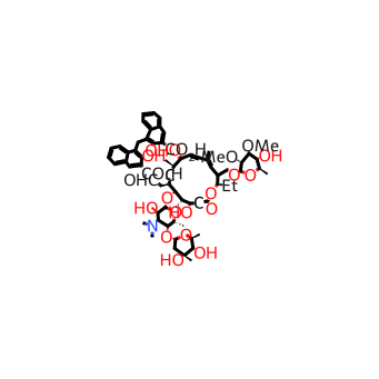 CC[C@H]1OC(=O)C[C@@H](O)[C@H](C)[C@@H](O[C@@H]2O[C@H](C)[C@@H](O[C@H]3C[C@@](C)(O)[C@@H](O)[C@H](C)O3)[C@H](N(C)C)[C@H]2O)[C@@H](CC=O)C[C@@H](C)C(=O)/C=C/C(C)=C/C1CO[C@@H]1O[C@H](C)[C@@H](O)[C@@H](OC)[C@H]1OC.O=C(O)c1cc2ccccc2c(Cc2c(O)c(C(=O)O)cc3ccccc23)c1O